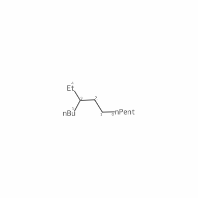 CCCCCC[CH]C(CC)CCCC